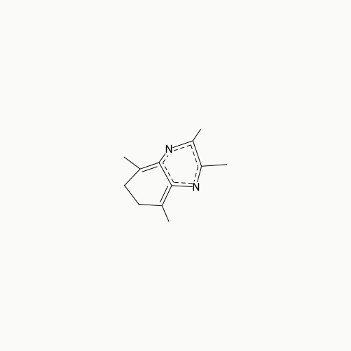 CC1=c2nc(C)c(C)nc2=C(C)CC1